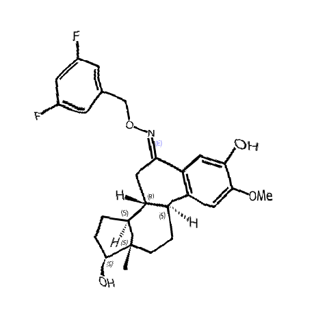 COc1cc2c(cc1O)/C(=N/OCc1cc(F)cc(F)c1)C[C@@H]1[C@@H]2CC[C@]2(C)[C@@H](O)CC[C@@H]12